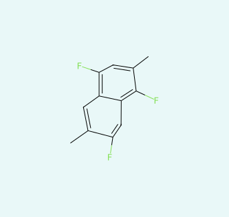 Cc1cc2c(F)cc(C)c(F)c2cc1F